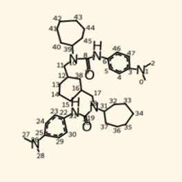 CN(C)c1ccc(NC(=O)N(CC2CCCC(CN(C(=O)Nc3ccc(N(C)C)cc3)C3CCCCCC3)C2)C2CCCCCC2)cc1